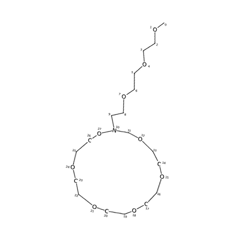 COCCOCCOCCN1COCCOCCOCCOCCOCCO1